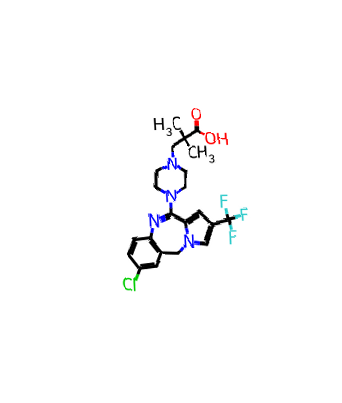 CC(C)(CN1CCN(C2=Nc3ccc(Cl)cc3Cn3cc(C(F)(F)F)cc32)CC1)C(=O)O